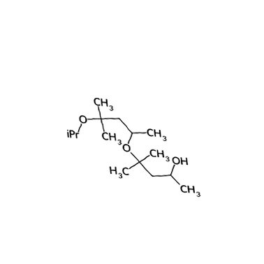 CC(O)CC(C)(C)OC(C)CC(C)(C)OC(C)C